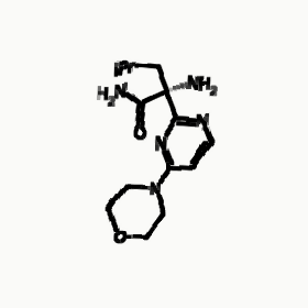 CC(C)C[C@](N)(C(N)=O)c1nccc(N2CCOCC2)n1